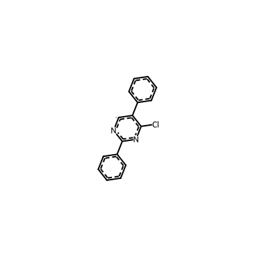 Clc1nc(-c2ccccc2)n[c]c1-c1ccccc1